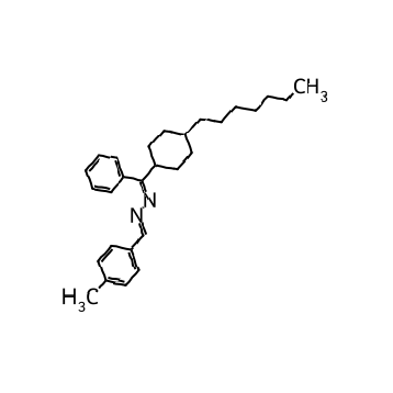 CCCCCCCC1CCC(C(=NN=Cc2ccc(C)cc2)c2ccccc2)CC1